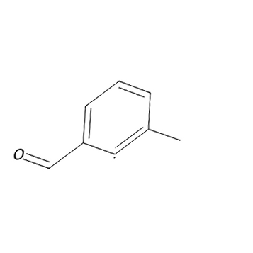 Cc1[c]c(C=O)ccc1